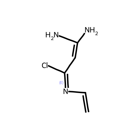 C=C/N=C(/Cl)C=C(N)N